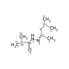 C/C(CC(C)C)=N/NC(=O)C(C)C